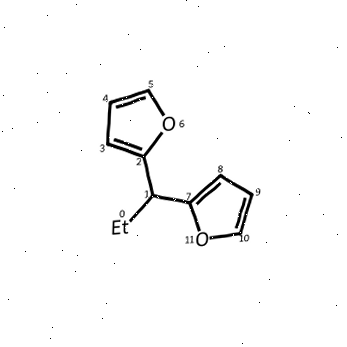 CCC(c1ccco1)c1ccco1